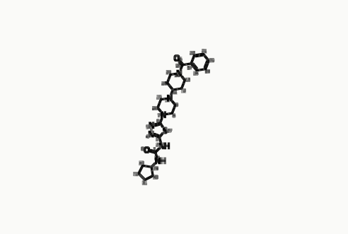 O=C(Nc1nnc(N2CCN(C3CCN(C(=O)c4ccccc4)CC3)CC2)s1)NC1CCCC1